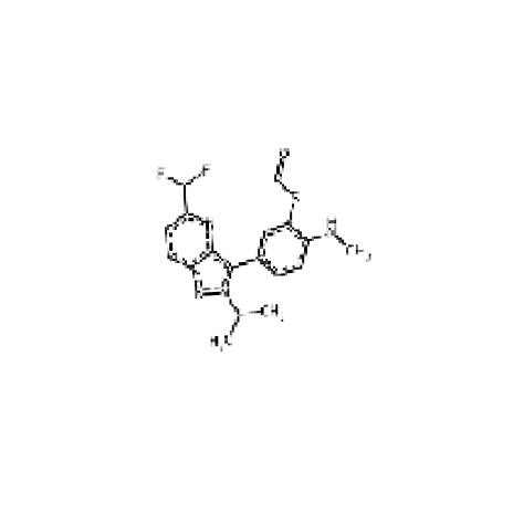 CNc1ccc(-c2c3nc(C(F)F)ccc3nn2C(C)C)cc1SC=O